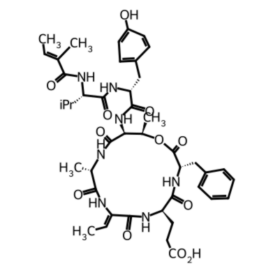 C/C=C1\NC(=O)[C@H](C)NC(=O)[C@@H](NC(=O)[C@@H](Cc2ccc(O)cc2)NC(=O)[C@@H](NC(=O)/C(C)=C/C)C(C)C)[C@@H](C)OC(=O)[C@H](Cc2ccccc2)NC(=O)[C@@H](CCC(=O)O)NC1=O